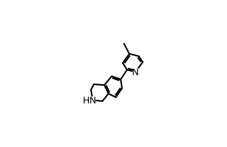 Cc1ccnc(-c2ccc3c(c2)CCNC3)c1